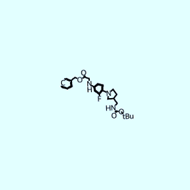 CC(C)(C)OC(=O)NCC1CCN(c2ccc(NCC(=O)OCc3ccccc3)cc2F)C1